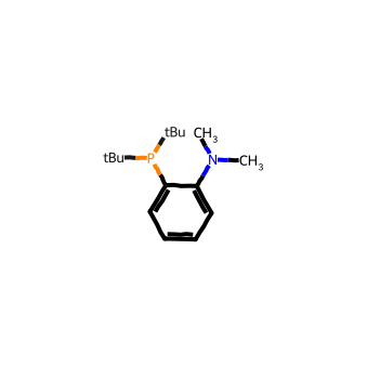 CN(C)c1ccccc1P(C(C)(C)C)C(C)(C)C